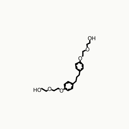 OCCOCCOc1ccc(CCCc2ccc(OCCOCCO)cc2)cc1